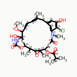 COC1/C=C/C=C(\C)Cc2cc(O)c(Cl)c(c2)N(C)C(=O)CC(OC(=O)C(C)C)C2(C)OC2C(C)C2CC1(O)NC(=O)O2